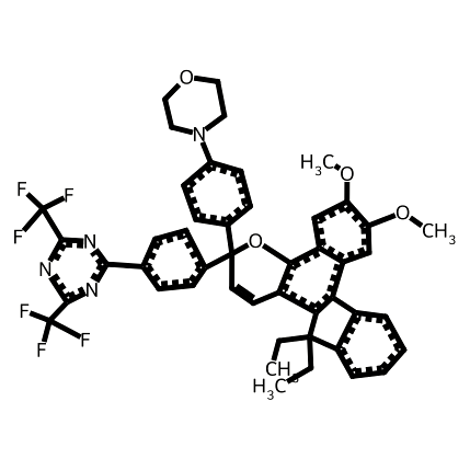 CCC1(CC)c2ccccc2-c2c1c1c(c3cc(OC)c(OC)cc23)OC(c2ccc(-c3nc(C(F)(F)F)nc(C(F)(F)F)n3)cc2)(c2ccc(N3CCOCC3)cc2)C=C1